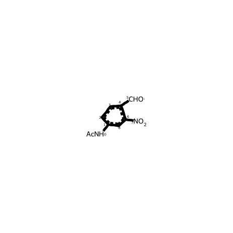 CC(=O)Nc1ccc([C]=O)c([N+](=O)[O-])c1